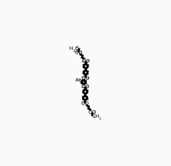 C=CC(=O)OCCCCOC(=O)C1CCC(C2CCC(C(=O)Oc3ccc(OC(=O)C4CCC(C5CCC(C(=O)OCCCCOC(=O)C=C)CC5)CC4)c(C(C)=O)c3)CC2)CC1